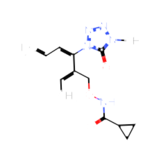 C=C/C=C(\C(=C\C)CONC(=O)C1CC1)n1nnn(C)c1=O